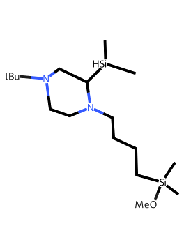 CO[Si](C)(C)CCCCN1CCN(C(C)(C)C)CC1[SiH](C)C